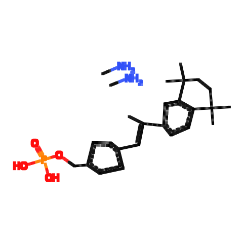 CC(=Cc1ccc(COP(=O)(O)O)cc1)c1ccc2c(c1)C(C)(C)CCC2(C)C.CN.CN